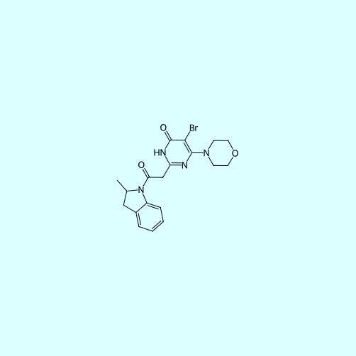 CC1Cc2ccccc2N1C(=O)Cc1nc(N2CCOCC2)c(Br)c(=O)[nH]1